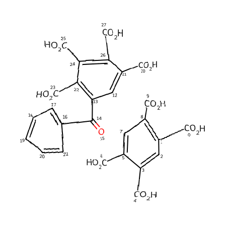 O=C(O)c1cc(C(=O)O)c(C(=O)O)cc1C(=O)O.O=C(O)c1cc(C(=O)c2ccccc2)c(C(=O)O)c(C(=O)O)c1C(=O)O